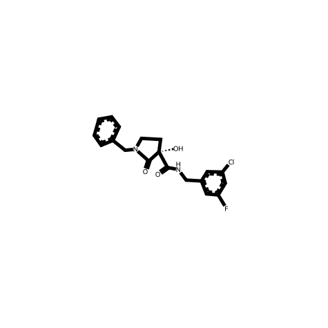 O=C(NCc1cc(F)cc(Cl)c1)[C@]1(O)CCN(Cc2ccccc2)C1=O